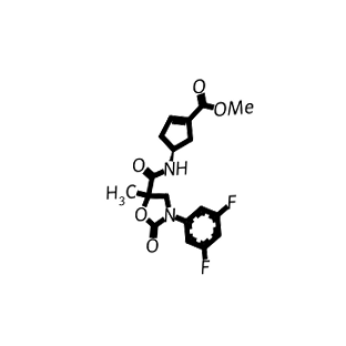 COC(=O)C1=CC[C@H](NC(=O)C2(C)CN(c3cc(F)cc(F)c3)C(=O)O2)C1